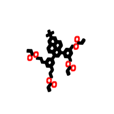 C=CC(=O)OCCCc1cc(CCCOC(=O)C=C)cc(-c2cc(-c3cc(COC(=O)C=C)cc(COC(=O)C=C)c3)c3ccc4cc(C(C)(C)C)cc5ccc2c3c54)c1